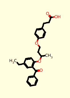 CCc1ccc(OC(C)CCOc2ccc(CCC(=O)O)cc2)c(C(=O)c2ccccc2)c1